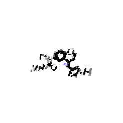 CCN(C(=O)NC)c1ccc2c(c1)/C(=C/c1c[nH]cn1)CCO2